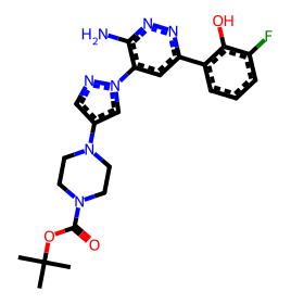 CC(C)(C)OC(=O)N1CCN(c2cnn(-c3cc(-c4cccc(F)c4O)nnc3N)c2)CC1